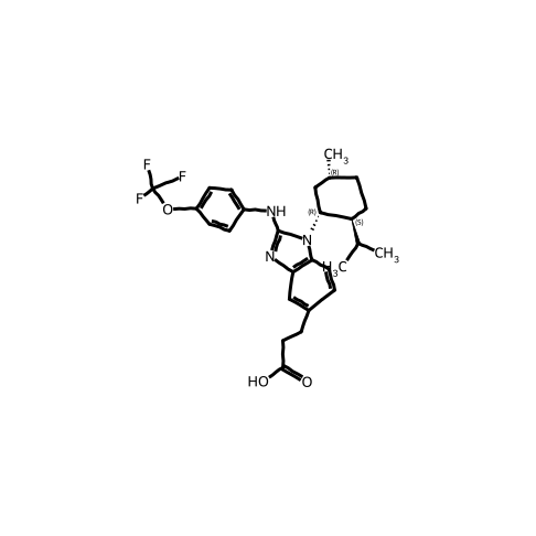 CC(C)[C@@H]1CC[C@@H](C)C[C@H]1n1c(Nc2ccc(OC(F)(F)F)cc2)nc2cc(CCC(=O)O)ccc21